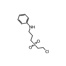 O=S(=O)(CCCl)CCCNc1[c]cccc1